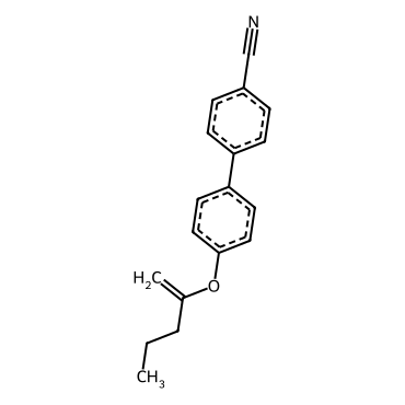 C=C(CCC)Oc1ccc(-c2ccc(C#N)cc2)cc1